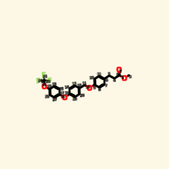 COC(=O)CCc1ccc(OCc2ccc(Oc3ccc(OC(F)(F)F)cc3)cc2)cc1